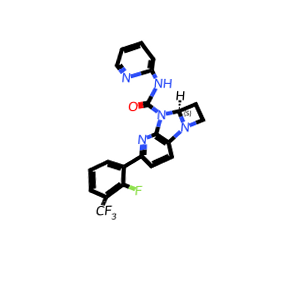 O=C(Nc1ccccn1)N1c2nc(-c3cccc(C(F)(F)F)c3F)ccc2N2CC[C@@H]21